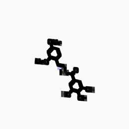 COc1ccc(/C=N/NC(=O)c2cc(O)c(O)c(O)c2)c(OC)c1